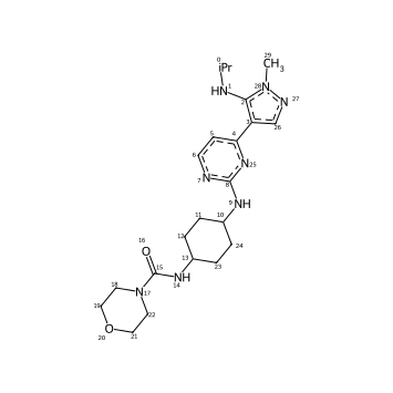 CC(C)Nc1c(-c2ccnc(NC3CCC(NC(=O)N4CCOCC4)CC3)n2)cnn1C